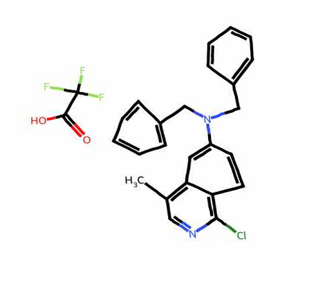 Cc1cnc(Cl)c2ccc(N(Cc3ccccc3)Cc3ccccc3)cc12.O=C(O)C(F)(F)F